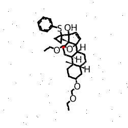 CCOCO[C@H]1CC[C@@]2(C)[C@H](CC[C@@H]3[C@@H]2CC[C@]2(C)C(O)(C4(Sc5ccccc5)CC4)C=C[C@]32OCOCC)C1